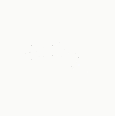 CO/N=C(\N)c1ccc(S(=O)(=O)N2CCc3cc(-c4ccc(C(F)(F)F)cc4)ccc32)s1